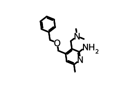 Cc1cc(COCc2ccccc2)c(CN(C)C)c(N)n1